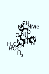 CNC(=O)c1c(NC(=O)c2nc(C(C)(C)O)ncc2Nc2cncnc2)cnn1C